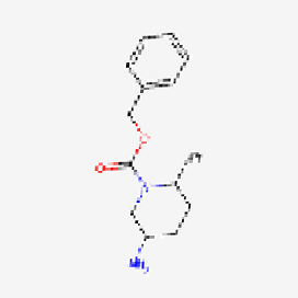 CC(C)C1CCC(N)CN1C(=O)OCc1ccccc1